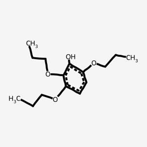 CCCOc1ccc(OCCC)c(OCCC)c1O